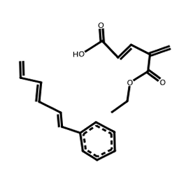 C=C(C=CC(=O)O)C(=O)OCC.C=CC=CC=Cc1ccccc1